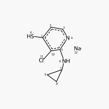 Sc1ccnc(NC2CC2)c1Cl.[Na]